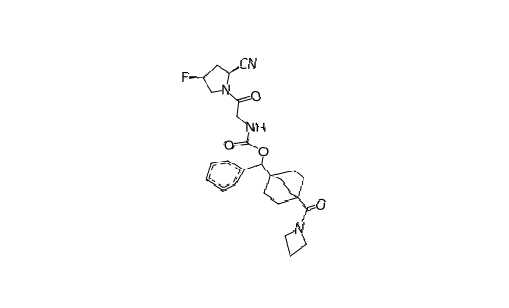 N#C[C@@H]1C[C@H](F)CN1C(=O)CNC(=O)OC(c1ccccc1)C12CCC(C(=O)N3CCC3)(CC1)CC2